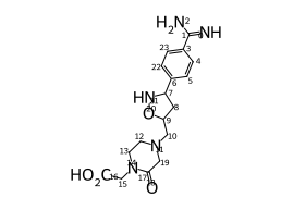 N=C(N)c1ccc(C2CC(CN3CCN(CC(=O)O)C(=O)C3)ON2)cc1